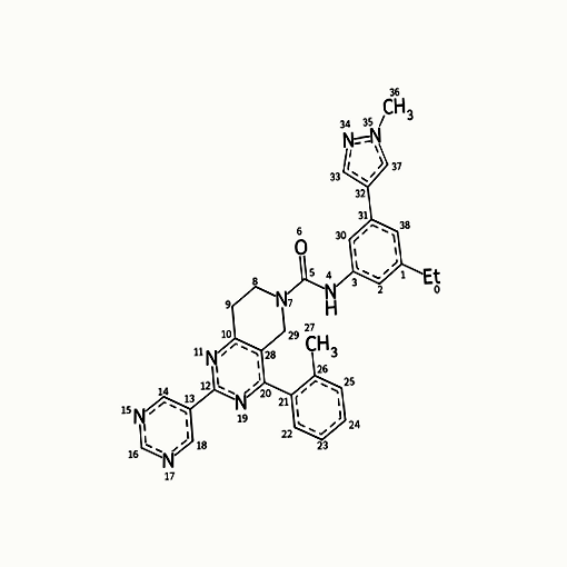 CCc1cc(NC(=O)N2CCc3nc(-c4cncnc4)nc(-c4ccccc4C)c3C2)cc(-c2cnn(C)c2)c1